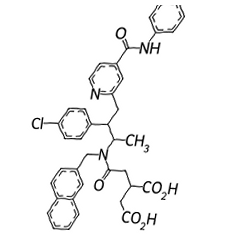 CC(C(Cc1cc(C(=O)Nc2ccccc2)ccn1)c1ccc(Cl)cc1)N(Cc1ccc2ccccc2c1)C(=O)CC(CC(=O)O)C(=O)O